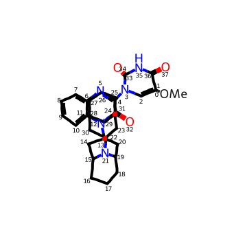 COc1cn(-c2nc3ccccc3n(C3CC4CCCC(C3)N4C3CC4CCCC(C4)C3)c2=O)c(=O)[nH]c1=O